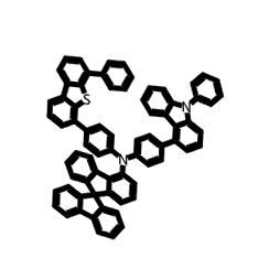 c1ccc(-c2cccc3c2sc2c(-c4ccc(N(c5ccc(-c6cccc7c6c6ccccc6n7-c6ccccc6)cc5)c5cccc6c5-c5ccccc5C65c6ccccc6-c6ccccc65)cc4)cccc23)cc1